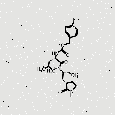 CC(C)C[C@H](NC(=O)OCc1ccc(F)cc1)C(=O)N[C@H](CO)C[C@@H]1CCNC1=O